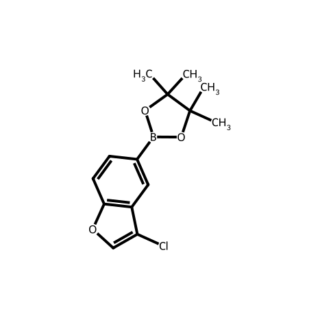 CC1(C)OB(c2ccc3occ(Cl)c3c2)OC1(C)C